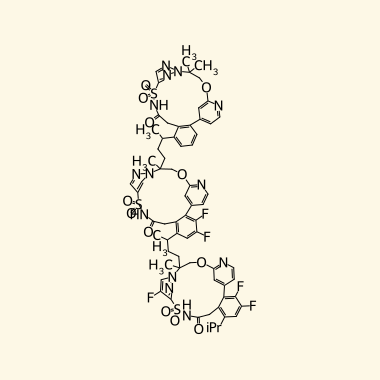 CC(C)c1cc(F)c(F)c2c1CC(=O)NS(=O)(=O)c1nn(cc1F)C(C)(CCC(C)c1cc(F)c(F)c3c1CC(=O)NS(=O)(=O)c1cnn(c1)C(C)(CCC(C)c1cccc4c1CC(=O)NS(=O)(=O)c1cnn(n1)C(C)(C)COc1cc-4ccn1)COc1cc-3ccn1)COc1cc-2ccn1